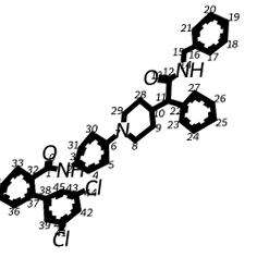 O=C(Nc1ccc(N2CCC(C(C(=O)NCc3ccccc3)c3ccccc3)CC2)cc1)c1ccccc1-c1cc(Cl)cc(Cl)c1